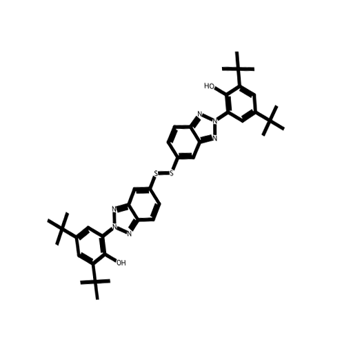 CC(C)(C)c1cc(-n2nc3ccc(SSc4ccc5nn(-c6cc(C(C)(C)C)cc(C(C)(C)C)c6O)nc5c4)cc3n2)c(O)c(C(C)(C)C)c1